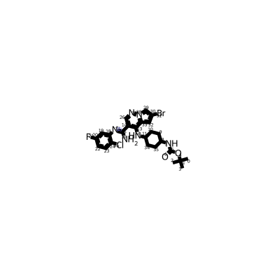 CC(C)(C)OC(=O)NC1CCC(Nc2c(/C(N)=N/c3cc(F)ccc3Cl)cnn3cc(Br)cc23)CC1